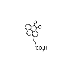 O=C(O)CCCc1ccc2c(=O)c(=O)c3cccc4ccc1c2c43